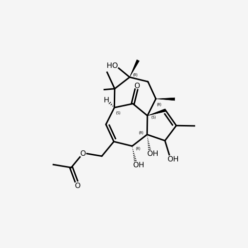 CC(=O)OCC1=C[C@@H]2C(=O)[C@]3(C=C(C)C(O)[C@@]3(O)[C@@H]1O)[C@H](C)C[C@@](C)(O)C2(C)C